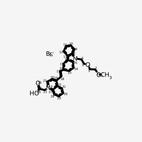 COCCOCCn1c2ccccc2c2cc(/C=C/c3cc[n+](CC(=O)O)c4ccccc34)ccc21.[Br-]